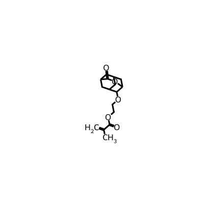 C=C(C)C(=O)OCCOC1C2CC3CC(C2)C(=O)OC1C3